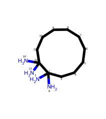 NC1(N)CCCCCCCCCC1(N)N